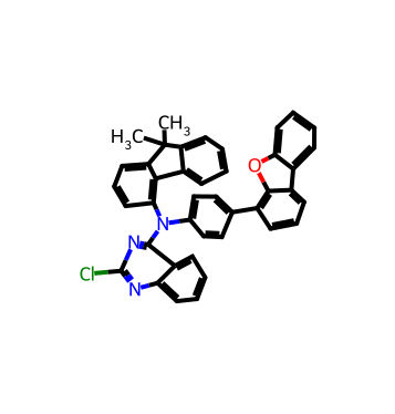 CC1(C)c2ccccc2-c2c(N(c3ccc(-c4cccc5c4oc4ccccc45)cc3)c3nc(Cl)nc4ccccc34)cccc21